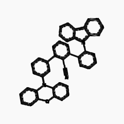 N#Cc1c(-c2cccc(N3c4ccccc4Oc4ccccc43)c2)cccc1-c1ccccc1-n1c2ccccc2c2ccccc21